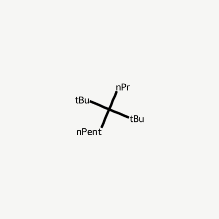 [CH2]CCC(CCCCC)(C(C)(C)C)C(C)(C)C